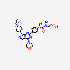 O=C(NCCO)Nc1ccc(-c2nc(N3CCOCC3)c3cnn(C4CCN(CC(F)(F)F)CC4)c3n2)cc1